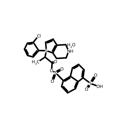 CC(C(=O)OS(=O)(=O)c1cccc2c(S(=O)(=O)O)cccc12)S1(c2ccccc2Cl)C=CC2=C1CCNC2.O